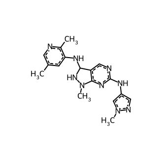 Cc1cnc(C)c(NC2NN(C)c3nc(Nc4cnn(C)c4)ncc32)c1